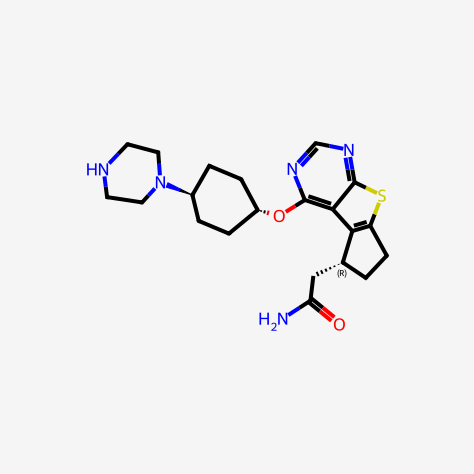 NC(=O)C[C@H]1CCc2sc3ncnc(O[C@H]4CC[C@H](N5CCNCC5)CC4)c3c21